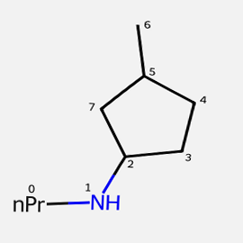 CCCNC1CCC(C)C1